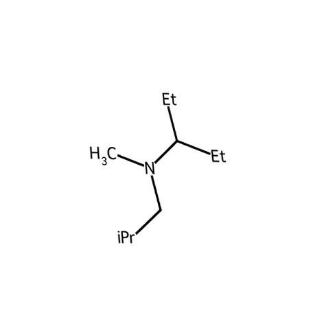 CCC(CC)N(C)CC(C)C